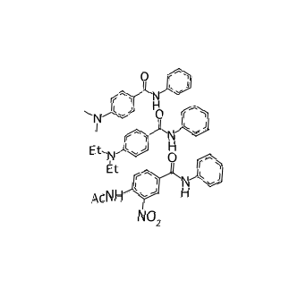 CC(=O)Nc1ccc(C(=O)Nc2ccccc2)cc1[N+](=O)[O-].CCN(CC)c1ccc(C(=O)Nc2ccccc2)cc1.CN(C)c1ccc(C(=O)Nc2ccccc2)cc1